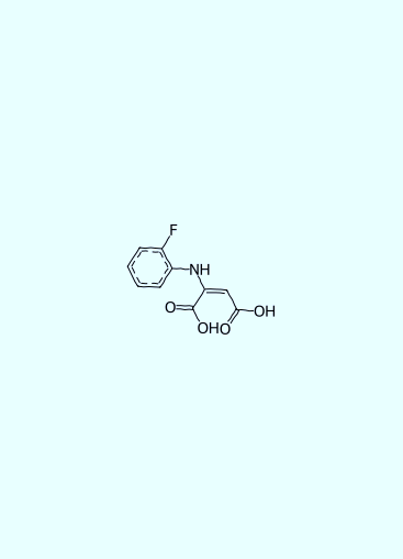 O=C(O)C=C(Nc1ccccc1F)C(=O)O